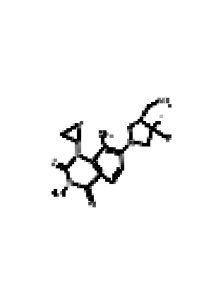 Cc1c(N2CC(CN)C(F)(F)C2)ccc2c(=O)n(N)c(=O)n(C3CC3)c12